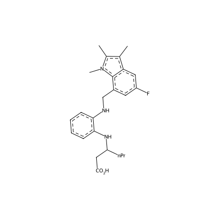 CCCC(CC(=O)O)Nc1ccccc1NCc1cc(F)cc2c(C)c(C)n(C)c12